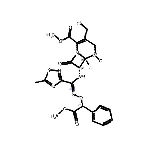 BOC(=O)C1=C(CCl)C[S+]([O-])[C@@H]2[C@H](N/C(=N\O[C@H](C(=O)OB)c3ccccc3)c3nsc(C)n3)C(=O)N12